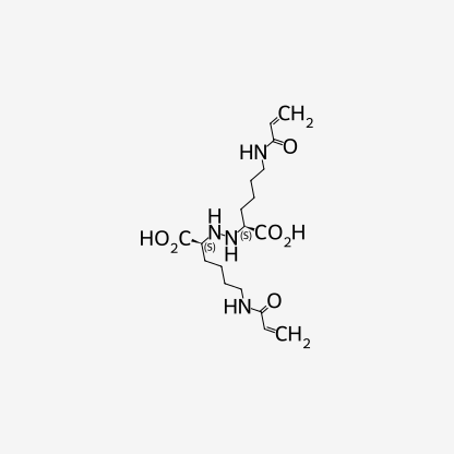 C=CC(=O)NCCCC[C@H](NN[C@@H](CCCCNC(=O)C=C)C(=O)O)C(=O)O